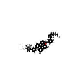 CC1(C)CN=C(c2cccc(-c3ccc4c(c3)C3(c5ccccc5-c5ccccc53)c3c-4ccc4cc(-c5cccc(C6=NCC(C)(C)O6)c5)ccc34)c2)O1